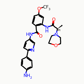 C[C@H](C(=O)Nc1cc(OC(F)(F)F)ccc1C(=O)Nc1ccc(-c2ccc(N)cc2)nc1)N1CCOCC1